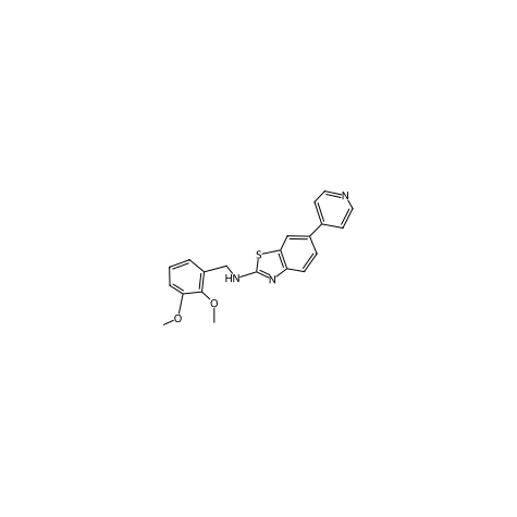 COc1cccc(CNc2nc3ccc(-c4ccncc4)cc3s2)c1OC